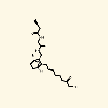 C#CCC(=O)NCC(=O)NC[C@H]1[C@@H](CC=CCCCC(=O)CO)[C@H]2CC[C@@H]1O2